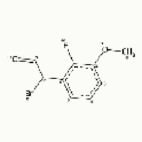 COc1cccc(C(Br)C=O)c1F